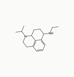 CCNC1CCC2c3c(cccc31)CCN2C(C)C